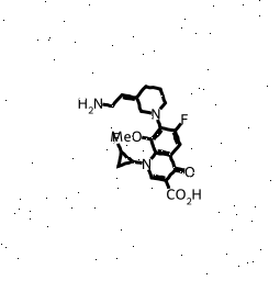 COc1c(N2CCC/C(=C/CN)C2)c(F)cc2c(=O)c(C(=O)O)cn(C3CC3F)c12